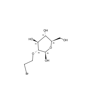 OC[C@H]1O[C@@H](O)[C@H](OCCBr)[C@@H](O)[C@@H]1O